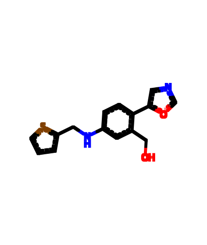 OCc1cc(NCc2cccs2)ccc1-c1cnco1